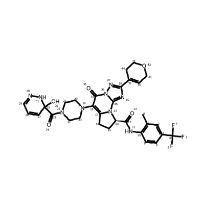 Cc1cc(C(F)(F)F)ccc1NC(=O)[C@H]1CCc2c(N3CCN(C(=O)C4(O)C=CC=NN4)CC3)c(=O)n3nc(C4=CCOCC4)nc3n21